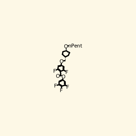 CCCCCO[C@H]1CC[C@H](COc2cc(F)c(C(=O)Oc3cc(F)c(F)c(F)c3)c(F)c2)CC1